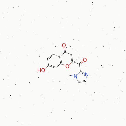 Cn1ccnc1C(=O)c1cc(=O)c2ccc(O)cc2o1